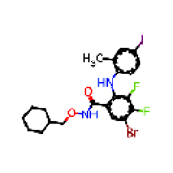 Cc1cc(I)ccc1Nc1c(C(=O)NOCC2CCCCC2)cc(Br)c(F)c1F